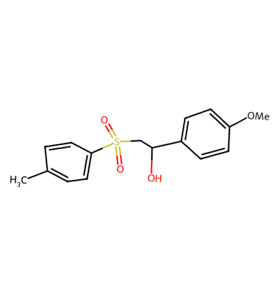 COc1ccc(C(O)CS(=O)(=O)c2ccc(C)cc2)cc1